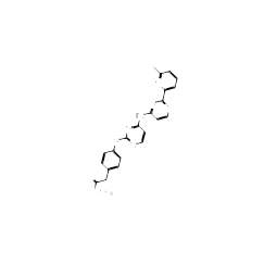 COC(=O)Cc1ccc(Nc2nccc(Nc3ccnc(-c4cccc(C)n4)n3)n2)cc1